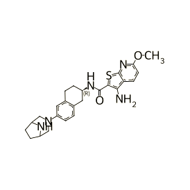 COc1ccc2c(N)c(C(=O)N[C@@H]3CCc4cc(N5CC6CCC(C5)N6)ccc4C3)sc2n1